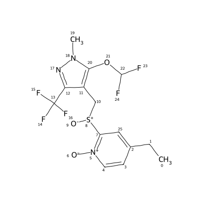 CCc1cc[n+]([O-])c([S+]([O-])Cc2c(C(F)(F)F)nn(C)c2OC(F)F)c1